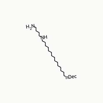 CCCCCCCCCCCCCCCCCCCCCCCCCNCCCCN